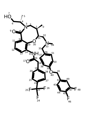 C[C@@H]1CN([C@@H](C)CO)C(=O)c2cccc(NC(=O)Cc3ccc(C(F)(F)F)cc3)c2O[C@@H]1CN(C)Cc1ccc(OCc2ccc(F)c(F)c2)cc1